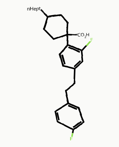 CCCCCCCC1CCC(C(=O)O)(c2ccc(CCc3ccc(F)cc3)cc2F)CC1